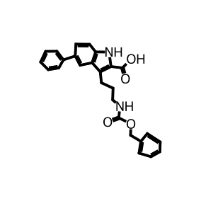 O=C(NCCCc1c(C(=O)O)[nH]c2ccc(-c3ccccc3)cc12)OCc1ccccc1